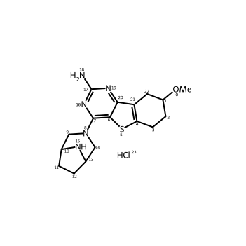 COC1CCc2sc3c(N4CC5CCC(C4)N5)nc(N)nc3c2C1.Cl